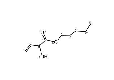 C=C[C](O)C(=O)OCCCCC